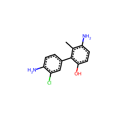 Cc1c(N)ccc(O)c1-c1ccc(N)c(Cl)c1